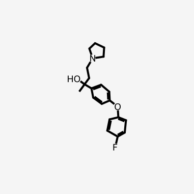 CC(O)(CCN1CCCC1)c1ccc(Oc2ccc(F)cc2)cc1